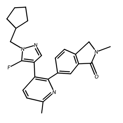 Cc1ccc(-c2cnn(CC3CCCC3)c2F)c(-c2ccc3c(c2)C(=O)N(C)C3)n1